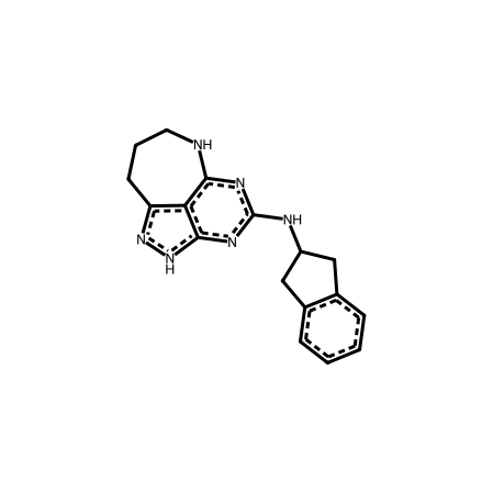 c1ccc2c(c1)CC(Nc1nc3c4c(n[nH]c4n1)CCCN3)C2